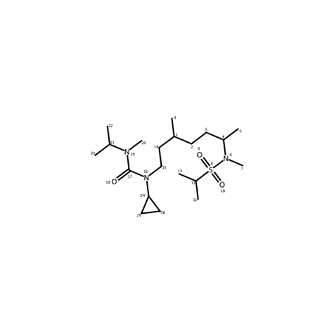 CC(CCC(C)N(C)S(=O)(=O)C(C)C)CCN(C(=O)N(C)C(C)C)C1CC1